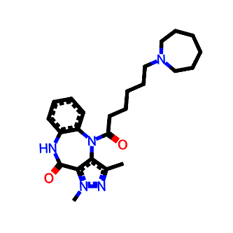 Cc1nn(C)c2c1N(C(=O)CCCCCN1CCCCCC1)c1ccccc1NC2=O